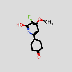 COc1cc(C2CCC(=O)CC2)nc(O)c1F